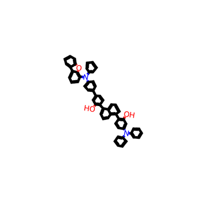 Oc1cc(-c2ccc(N(c3ccccc3)c3cccc4c3oc3ccccc34)cc2)ccc1-c1cccc2c(-c3ccc(N(c4ccccc4)c4ccccc4)cc3O)cccc12